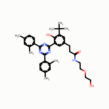 Cc1ccc(-c2nc(-c3ccc(C)cc3C)nc(-c3cc(CCC(=O)NCCOCCO)cc(C(C)(C)C)c3O)n2)c(C)c1